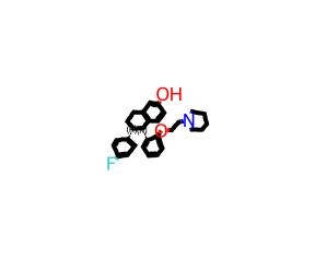 Oc1ccc2c(c1)CC[C@@H](c1ccc(F)cc1)[C@H]2c1ccccc1OCCN1CCCCC1